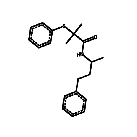 CC(CCc1ccccc1)NC(=O)C(C)(C)Sc1ccccc1